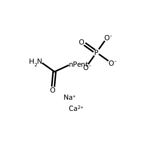 CCCCCC(N)=O.O=P([O-])([O-])[O-].[Ca+2].[Na+]